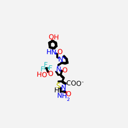 N[C@@H]1C(=O)N2C(C(=O)[O-])=C(/C=C3\CCN(Cc4cccc[n+]4CC(=O)Nc4ccc(O)cc4)C3=O)CS[C@H]12.O=C(O)C(F)(F)F